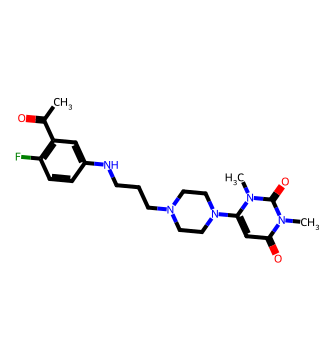 CC(=O)c1cc(NCCCN2CCN(c3cc(=O)n(C)c(=O)n3C)CC2)ccc1F